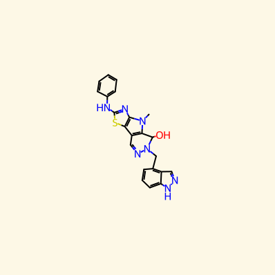 Cn1c2c(c3sc(Nc4ccccc4)nc31)C=NN(Cc1cccc3[nH]ncc13)C2O